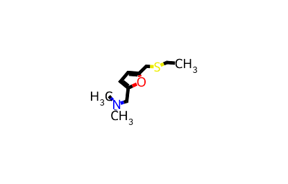 CCSCc1ccc(CN(C)C)o1